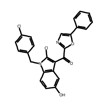 O=C(c1ncc(-c2ccccc2)o1)c1c(Cl)n(Cc2ccc(Cl)cc2)c2ccc(O)cc12